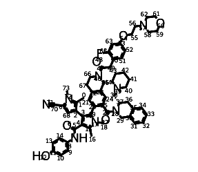 Cc1c(-c2c(C(=O)Nc3ccc(O)cc3)c(C)n(C)c2-c2cc3c(cc2C(=O)N2Cc4ccccc4C[C@H]2CN2CCCCC2)CN(C(=O)Cc2ccc(OCCN4CCOCC4)cc2F)CC3)cc(C#N)n1C